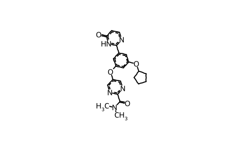 CN(C)C(=O)c1ncc(Oc2cc(OC3CCCC3)cc(-c3nccc(=O)[nH]3)c2)cn1